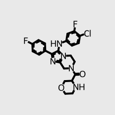 O=C(C1COCCN1)N1CCn2c(nc(-c3ccc(F)cc3)c2Nc2ccc(Cl)c(F)c2)C1